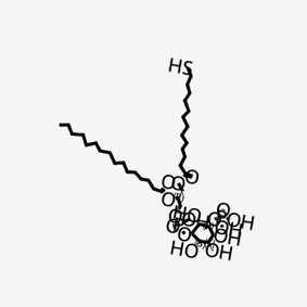 CCCCCCCCCCCCCCCC(=O)O[C@H](COC(=O)CCCCCCCCCCCCS)COP(=O)(O)OC1C(O)[C@H](OP(=O)(O)O)C(O)[C@H](O)[C@@H]1O